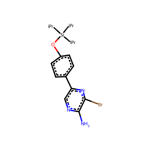 CC(C)[Si](Oc1ccc(-c2cnc(N)c(Br)n2)cc1)(C(C)C)C(C)C